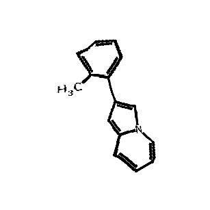 Cc1ccccc1-c1cc2ccccn2c1